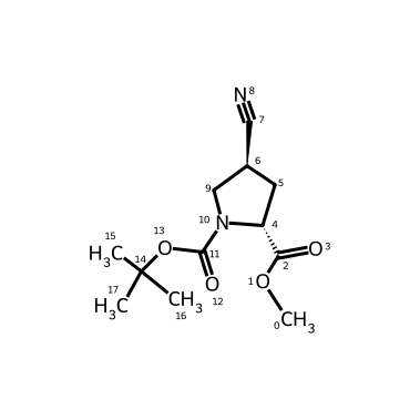 COC(=O)[C@H]1C[C@H](C#N)CN1C(=O)OC(C)(C)C